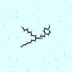 CCCCCCCC(CCCCCCC)NCCN1CCN(C)CC1